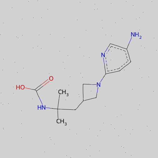 CC(C)(CC1CN(c2ccc(N)cn2)C1)NC(=O)O